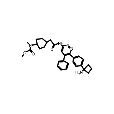 COC(=O)N(C)C1CCC(CC(=O)Nc2cc(-c3ccccc3)c(-c3ccc(C4(N)CCC4)cc3)nn2)CC1